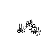 CCN(C(=O)c1cc(F)ccc1Oc1nncnc1N1CC2(CCN(C(=O)[C@H]3NC[C@@H]4CCC[C@@H]43)CC2)C1)C(C)C